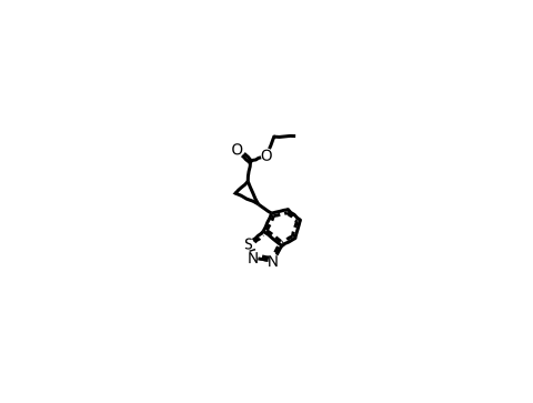 CCOC(=O)C1CC1c1cccc2nnsc12